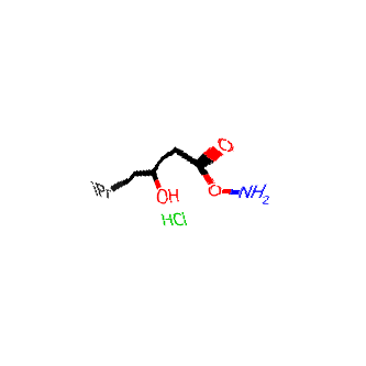 CC(C)CC(O)CC(=O)ON.Cl